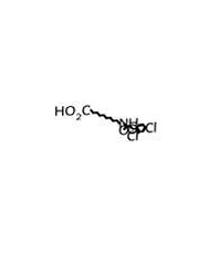 O=C(O)CCCCCCCCCCNC(=O)COc1ccc(Cl)cc1Cl